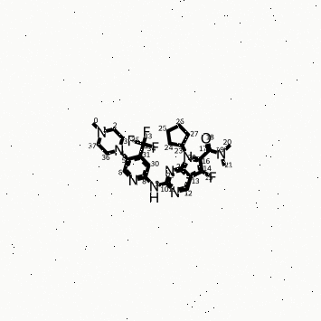 CN1CCN(c2cnc(Nc3ncc4c(F)c(C(=O)N(C)C)n(C5CCCC5)c4n3)cc2C(F)(F)F)CC1